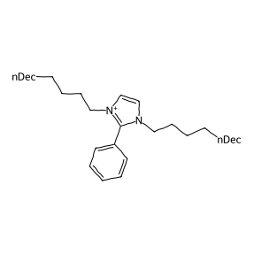 CCCCCCCCCCCCCCn1cc[n+](CCCCCCCCCCCCCC)c1-c1ccccc1